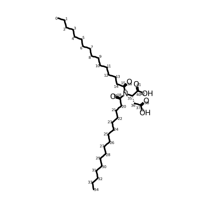 CCCCCCCCCCCCCCCC(=O)N(C(=O)CCCCCCCCCCCCCCC)[C@@H](CC(=O)O)C(=O)O